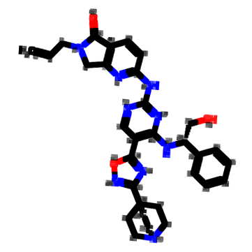 C=CCN1Cc2nc(Nc3ncc(-c4nc(C56CCN(CC5)CC6)no4)c(N[C@H](CO)c4ccccc4)n3)ccc2C1=O